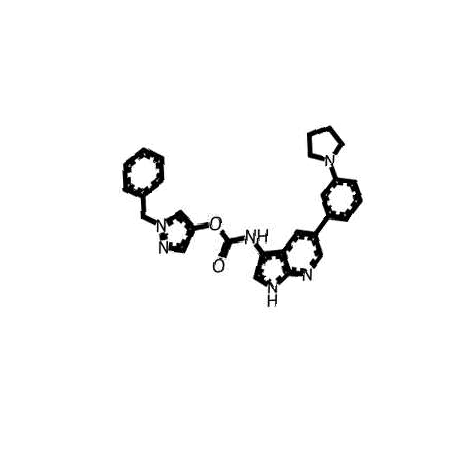 O=C(Nc1c[nH]c2ncc(-c3cccc(N4CCCC4)c3)cc12)Oc1cnn(Cc2ccccc2)c1